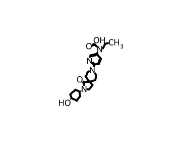 CCCN(C(=O)O)c1ccc(N2CCC3(CC2)CCN([C@H]2CC[C@@H](O)CC2)C3=O)nc1